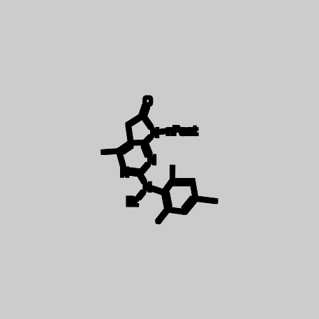 CCCCCN1C(=O)Cc2c(C)nc(N(CC)c3c(C)cc(C)cc3C)nc21